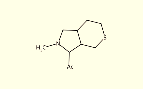 CC(=O)C1C2CSCCC2CN1C